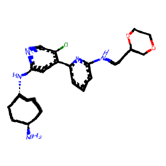 N[C@H]1CC[C@H](Nc2cc(-c3cccc(NCC4COCCO4)n3)c(Cl)cn2)CC1